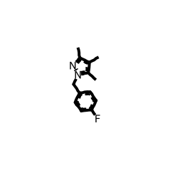 Cc1nn(Cc2ccc(F)cc2)c(C)c1C